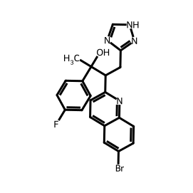 CC(O)(c1ccc(F)cc1)C(Cc1nc[nH]n1)c1ccc2cc(Br)ccc2n1